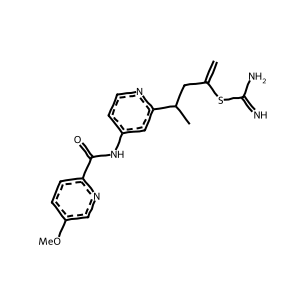 C=C(CC(C)c1cc(NC(=O)c2ccc(OC)cn2)ccn1)SC(=N)N